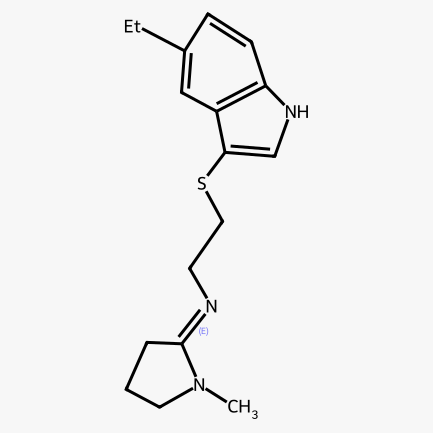 CCc1ccc2[nH]cc(SCC/N=C3\CCCN3C)c2c1